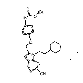 CC(C)(C)OC(=O)Nc1ccc(OCc2cc3cnc(C#N)nc3n2CCC2CCCCC2)cc1